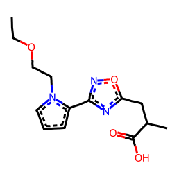 CCOCCn1cccc1-c1noc(CC(C)C(=O)O)n1